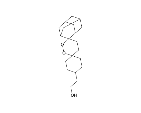 OCCC1CCC2(CC1)CCC1(OO2)C2CC3CC(C2)CC1C3